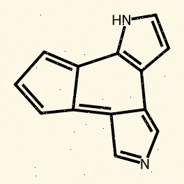 C1=Cc2c3c(c4cc[nH]c4c2=C1)=CN=C3